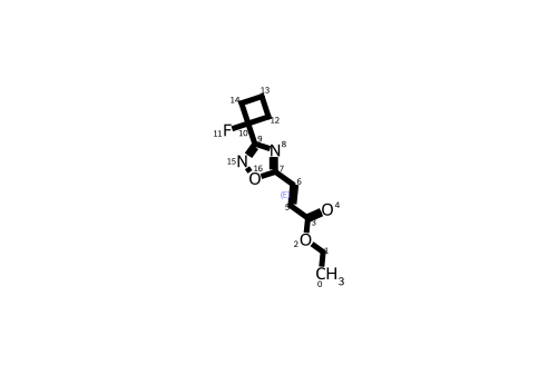 CCOC(=O)/C=C/c1nc(C2(F)CCC2)no1